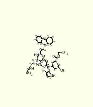 CCOC(=O)/C=C/C(CC(=O)O)NC(=O)[C@H](Cc1c[nH]cn1)NC(=O)[C@H](CCCNCN)NC(=O)OCC1c2ccccc2-c2ccccc21